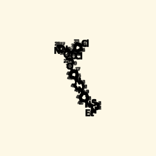 CCn1ccs/c1=N\c1ccc(N2CCN(c3ccc(OCC4COC(Cn5ccnc5)(c5ccc(Cl)cc5Cl)O4)cc3)CC2)cc1